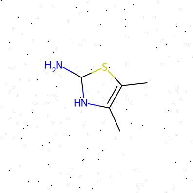 CC1=C(C)SC(N)N1